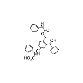 O=C(Nc1ccccc1)OCc1ccc(Cl)cc1C(O)c1ccccc1.O=C(O)Nc1ccccc1